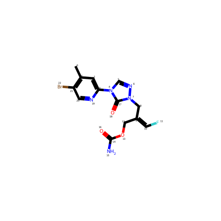 Cc1cc(-n2cnn(C/C(=C\F)COC(N)=O)c2=O)ncc1Br